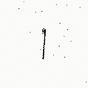 CCCCCCCCC=CCCCCCCCCCCCCCCCC(=O)CC(C)=O